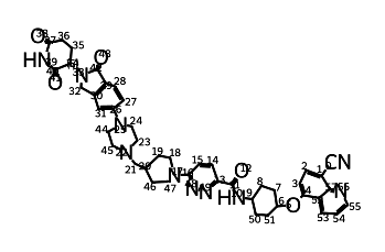 N#Cc1ccc(OC2CCC(NC(=O)c3ccc(N4CCC(CN5CCN(c6ccc7c(c6)CN([C@H]6CCC(=O)NC6=O)C7=O)CC5)CC4)nn3)CC2)c2cccnc12